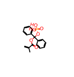 C=C(C)C(=O)OC(OP(=O)(O)O)(c1ccccc1)c1ccccc1